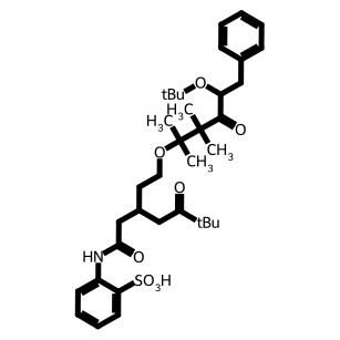 CC(C)(C)OC(Cc1ccccc1)C(=O)C(C)(C)C(C)(C)OCCC(CC(=O)Nc1ccccc1S(=O)(=O)O)CC(=O)C(C)(C)C